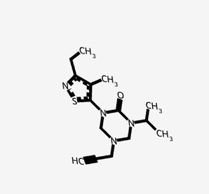 C#CCN1CN(c2snc(CC)c2C)C(=O)N(C(C)C)C1